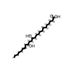 CCCCCC=CCC(O)CCC(O)CCCCCCCCCCCC(=O)O